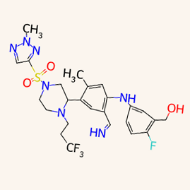 Cc1cc(Nc2ccc(F)c(CO)c2)c(C=N)cc1C1CN(S(=O)(=O)c2cnn(C)n2)CCN1CCC(F)(F)F